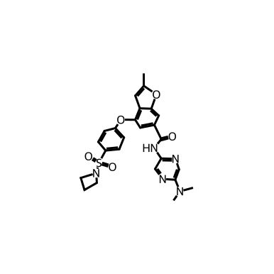 Cc1cc2c(Oc3ccc(S(=O)(=O)N4CCC4)cc3)cc(C(=O)Nc3cnc(N(C)C)cn3)cc2o1